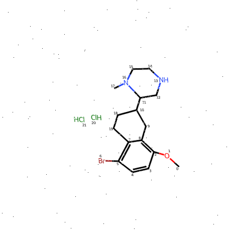 COc1ccc(Br)c2c1CC(C1CNCCN1C)CC2.Cl.Cl